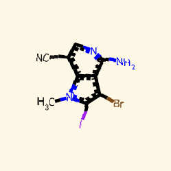 Cn1c(I)c(Br)c2c(N)ncc(C#N)c21